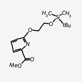 COC(=O)c1cccc(OCCO[Si](C)(C)C(C)(C)C)n1